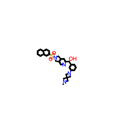 CN1CC2(C1)CN(c1cccc(C(O)c3cc4c(cn3)CN(S(=O)(=O)c3ccc5ccccc5c3)C4)c1)C2